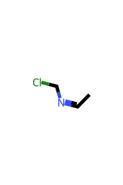 C/C=N\CCl